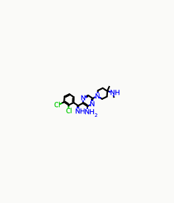 CNC1(C)CCN(c2cnc(C(=N)c3cccc(Cl)c3Cl)c(N)n2)CC1